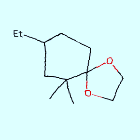 CCC1CCC2(OCCO2)C(C)(C)C1